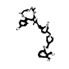 C/C1=N/N=C/[C@H](C)/N=C(/c2ccc(Cl)cc2)Cc2c(sc(C#CC3C=CC(CN4CCC(CNc5cccc(C=O)c5C=O)CC4)=CN3)c2C)N1